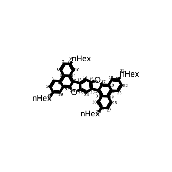 CCCCCCc1ccc2c3ccc(CCCCCC)cc3c3c4cc5oc6c7cc(CCCCCC)ccc7c7ccc(CCCCCC)cc7c6c5cc4oc3c2c1